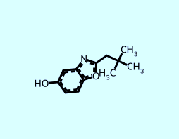 CC(C)(C)Cc1nc2cc(O)ccc2o1